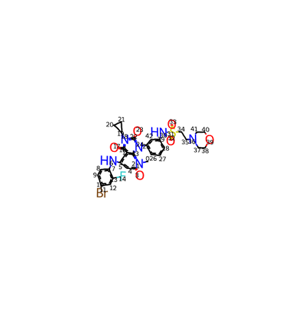 Cn1c(=O)cc(Nc2ccc(Br)cc2F)c2c(=O)n(C3CC3)c(=O)n(-c3cccc(NS(=O)(=O)CCN4CCOCC4)c3)c21